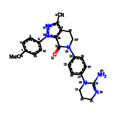 COc1ccc(-n2nc(C#N)c3c2C(=O)N(c2ccc(N4CCCN=C4N)cc2)CC3)cc1